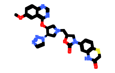 COc1ccc2ncnc(O[C@H]3CN(CC4CN(c5ccc6c(c5)NC(=O)CS6)C(=O)O4)C[C@@H]3n3ccnn3)c2c1